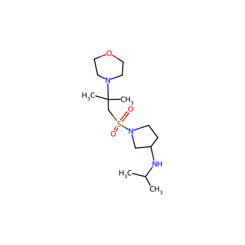 CC(C)NC1CCN(S(=O)(=O)CC(C)(C)N2CCOCC2)C1